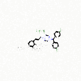 COc1ccc(C=CCN2CCN(C(c3ccc(F)cc3)c3ccc(F)cc3)CC2)c(OC)c1OC.Cl.Cl